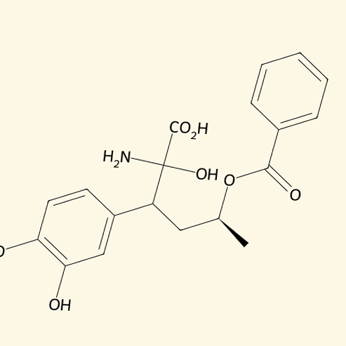 C[C@@H](CC(c1ccc(O)c(O)c1)C(N)(O)C(=O)O)OC(=O)c1ccccc1